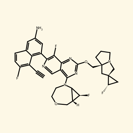 C#Cc1c(F)ccc2cc(N)cc(-c3ncc4c(N5CCOC[C@@H]6C5[C@H]6F)nc(OC[C@@]56CCCN5C[C@]5(C[C@@H]5F)C6)nc4c3F)c12